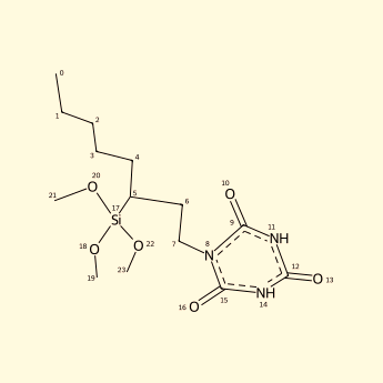 CCCCCC(CCn1c(=O)[nH]c(=O)[nH]c1=O)[Si](OC)(OC)OC